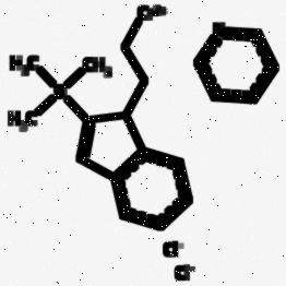 C[Si](C)(C)C1=Cc2ccccc2C1C[CH2][Cr+2].[Cl-].[Cl-].c1ccncc1